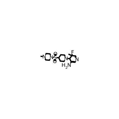 CN1CCN(S(=O)(=O)C2CCN(C3C(N)=CN=CC3(C)F)CC2)CC1